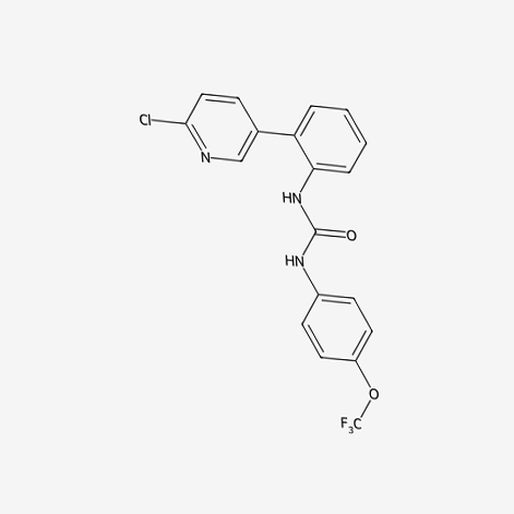 O=C(Nc1ccc(OC(F)(F)F)cc1)Nc1ccccc1-c1ccc(Cl)nc1